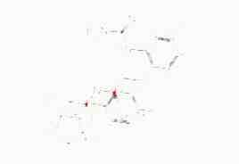 N=C(N)Nc1cc(Cl)ccc1OCC(=O)N[C@H]1C[C@H]2CC[C@@H](C1)N2Cc1ccc(Cl)cc1